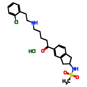 CS(=O)(=O)NC1Cc2ccc(C(=O)CCCCNCCc3ccccc3Cl)cc2C1.Cl